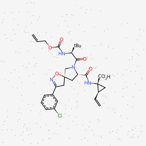 C=CCOC(=O)N[C@H](C(=O)N1C[C@@]2(CC(c3cccc(Cl)c3)=NO2)C[C@H]1C(=O)N[C@]1(C(=O)O)C[C@H]1C=C)C(C)(C)C